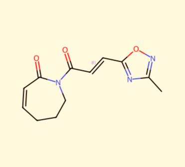 Cc1noc(/C=C/C(=O)N2CCCC=CC2=O)n1